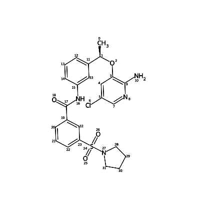 C[C@@H](Oc1cc(Cl)cnc1N)c1cccc(NC(=O)c2cccc(S(=O)(=O)N3CCCC3)c2)c1